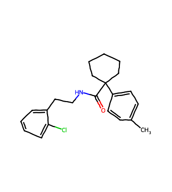 Cc1ccc(C2(C(=O)NCCc3ccccc3Cl)CCCCC2)cc1